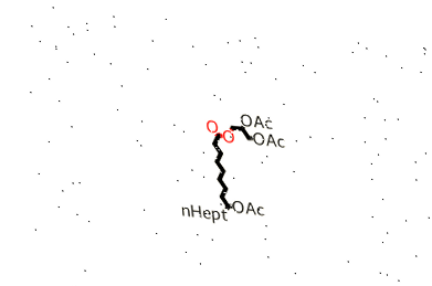 CCCCCCCC(CCCCCCCC(=O)OCC(COC(C)=O)OC(C)=O)OC(C)=O